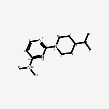 CC(C)C1CCN(c2nccc(N(C)C)n2)CC1